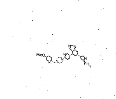 COc1ccc(CN2CCN(c3ccc(-c4cc(-c5cnn(C)c5)cc5ncncc45)cn3)CC2)nc1